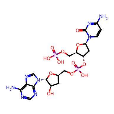 Nc1ccn([C@H]2C[C@H](OP(=O)(O)OC[C@H]3[CH][C@@H](O)[C@H](n4cnc5c(N)ncnc54)O3)[C@@H](COP(=O)(O)O)O2)c(=O)n1